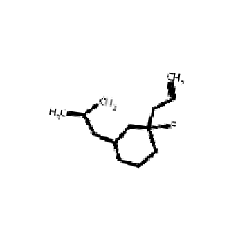 C=CCC1(F)CCCC(CC(C)C)C1